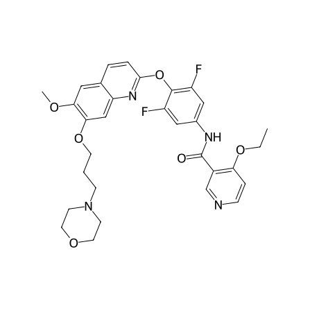 CCOc1ccncc1C(=O)Nc1cc(F)c(Oc2ccc3cc(OC)c(OCCCN4CCOCC4)cc3n2)c(F)c1